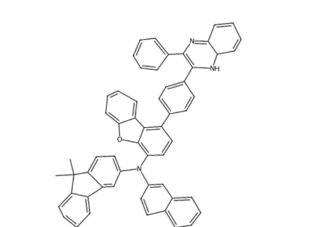 CC1(C)c2ccccc2-c2cc(N(c3ccc4ccccc4c3)c3ccc(-c4ccc(C5=C(c6ccccc6)N=C6C=CC=CC6N5)cc4)c4c3oc3ccccc34)ccc21